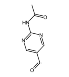 CC(=O)Nc1ncc([C]=O)cn1